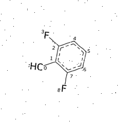 [CH]c1c(F)cccc1F